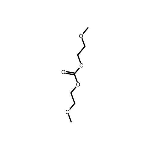 COCCOC(=O)OCCOC